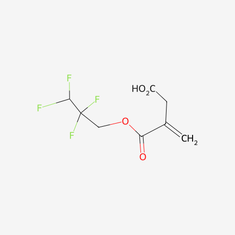 C=C(CC(=O)O)C(=O)OCC(F)(F)C(F)F